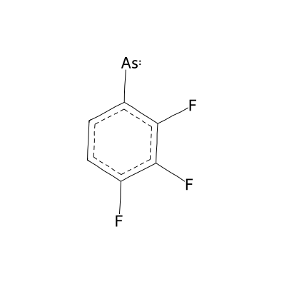 Fc1ccc([As])c(F)c1F